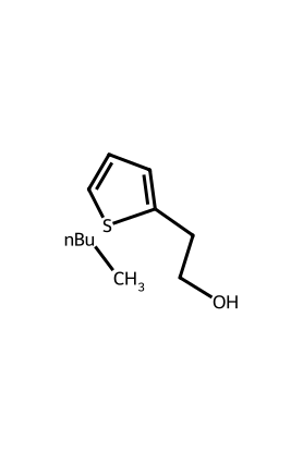 CCCCC.OCCc1cccs1